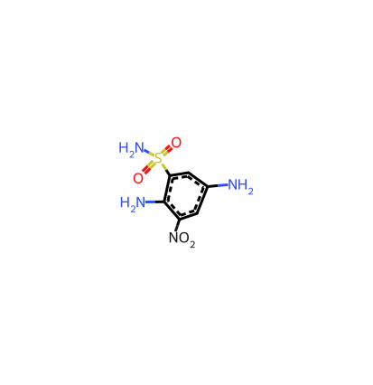 Nc1cc([N+](=O)[O-])c(N)c(S(N)(=O)=O)c1